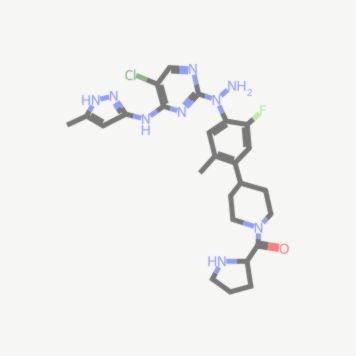 Cc1cc(Nc2nc(N(N)c3cc(C)c(C4CCN(C(=O)C5CCCN5)CC4)cc3F)ncc2Cl)n[nH]1